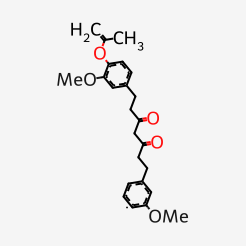 C=C(C)Oc1ccc(CCC(=O)CC(=O)CCc2cc[c]c(OC)c2)cc1OC